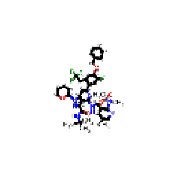 Cc1cnc(N(C)S(C)(=O)=O)c(CNc2nc(-c3cc(F)c(OCc4ccccc4)cc3CC(F)(F)F)cc3c2c(C(=O)NC(C)(C)C)nn3C2CCCCO2)c1